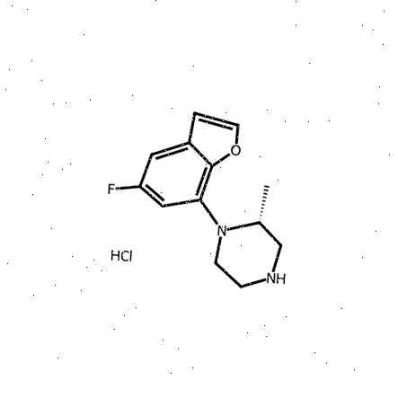 C[C@@H]1CNCCN1c1cc(F)cc2ccoc12.Cl